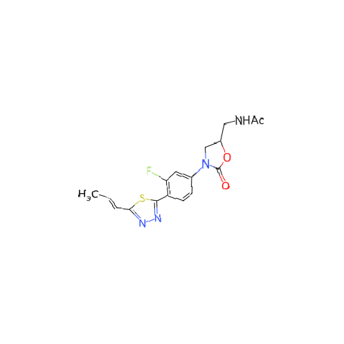 CC=Cc1nnc(-c2ccc(N3CC(CNC(C)=O)OC3=O)cc2F)s1